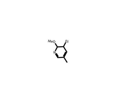 CCC1C=C(C)C=NC1OC